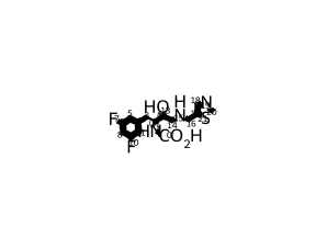 O=C(O)N[C@@H](Cc1cc(F)cc(F)c1)[C@@H](O)CNCc1cncs1